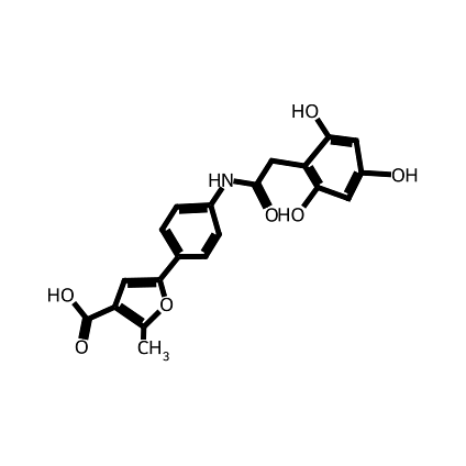 Cc1oc(-c2ccc(NC(=O)Cc3c(O)cc(O)cc3O)cc2)cc1C(=O)O